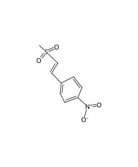 CS(=O)(=O)C=Cc1ccc([N+](=O)[O-])cc1